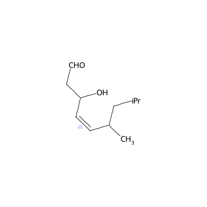 CC(C)CC(C)/C=C\C(O)CC=O